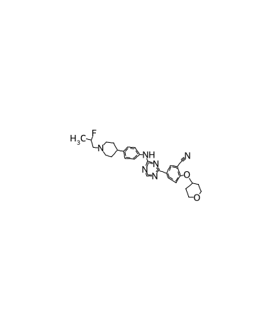 CC(F)CN1CCC(c2ccc(Nc3ncnc(-c4ccc(OC5CCOCC5)c(C#N)c4)n3)cc2)CC1